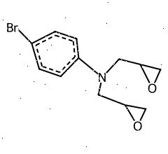 Brc1ccc(N(CC2CO2)CC2CO2)cc1